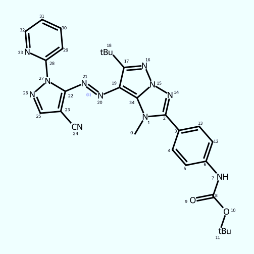 Cn1c(-c2ccc(NC(=O)OC(C)(C)C)cc2)nn2nc(C(C)(C)C)c(/N=N/c3c(C#N)cnn3-c3ccccn3)c12